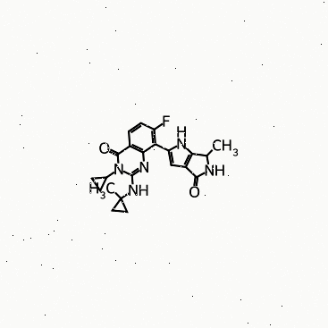 CC1NC(=O)c2cc(-c3c(F)ccc4c(=O)n(C5CC5)c(NC5(C)CC5)nc34)[nH]c21